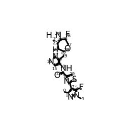 Cc1nn(C)c(F)c1-c1nc(C(=O)Nc2cn[nH]c2C[C@@H]2CC[C@@H](N)[C@H](F)CO2)cs1